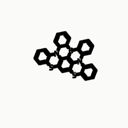 C1=CC2B3c4ccccc4-n4c5ccccc5sc5cc6sc7ccccc7n(c6c3c54)C2C=C1